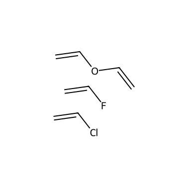 C=CCl.C=CF.C=COC=C